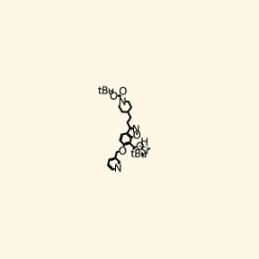 C[SiH](C)OC(c1c(OCc2cccnc2)ccc2c(CCC3CCN(C(=O)OC(C)(C)C)CC3)noc12)C(C)(C)C